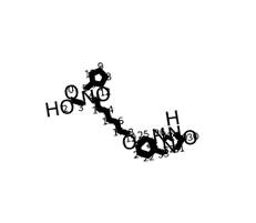 O=C(O)CN(CC1CCCC1)C(=O)CCCCCCOc1ccc2c(c1)N=C1NC(=O)CN1C2